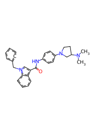 CN(C)C1CCN(c2ccc(NC(=O)c3cn(Cc4ccccc4)c4ccccc34)cc2)C1